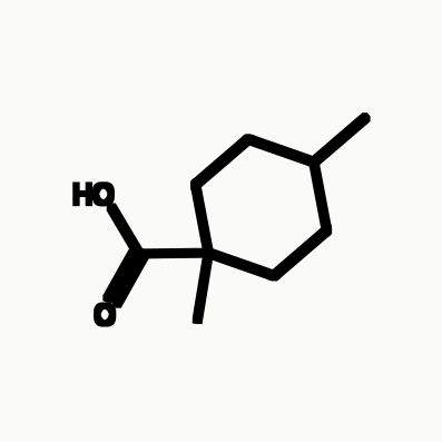 CC1CCC(C)(C(=O)O)CC1